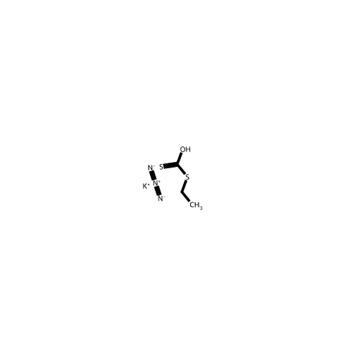 CCSC(O)=S.[K+].[N-]=[N+]=[N-]